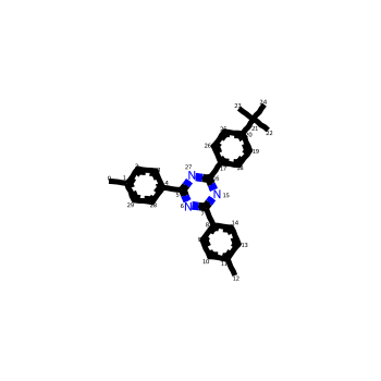 Cc1ccc(-c2nc(-c3ccc(C)cc3)nc(-c3ccc(C(C)(C)C)cc3)n2)cc1